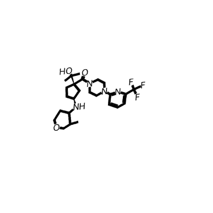 CC1COCCC1N[C@H]1CC[C@@](C(=O)N2CCN(c3cccc(C(F)(F)F)n3)CC2)(C(C)(C)O)C1